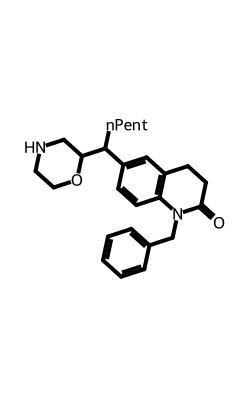 CCCCCC(c1ccc2c(c1)CCC(=O)N2Cc1ccccc1)C1CNCCO1